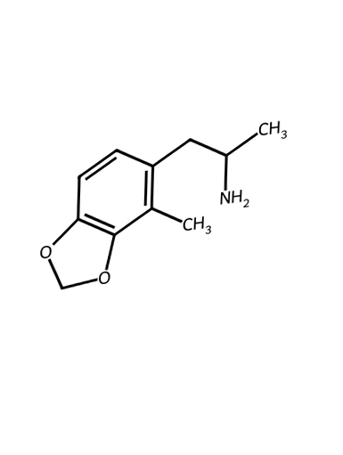 Cc1c(CC(C)N)ccc2c1OCO2